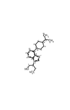 CCC(CO)n1cnc2c(N3CCC(C(C)C)CC3)ncnc21